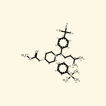 COC(=O)C[C@@H]1CCN([C@H](CCC(C)C)c2ccc(C(F)(F)F)cc2)[C@H](c2ccc([Si](C)(C)C)cc2)C1